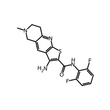 CN1CCc2nc3sc(C(=O)Nc4c(F)cccc4F)c(N)c3cc2C1